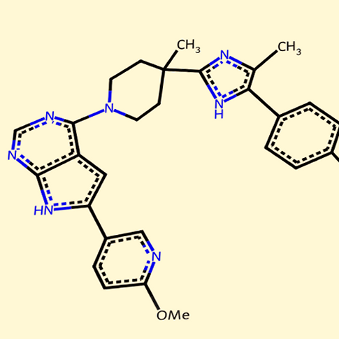 CCOc1ccc(-c2[nH]c(C3(C)CCN(c4ncnc5[nH]c(-c6ccc(OC)nc6)cc45)CC3)nc2C)cc1